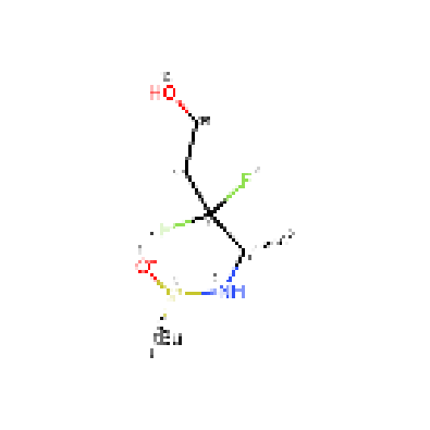 C[C@H](N[S@@+]([O-])C(C)(C)C)C(F)(F)CCO